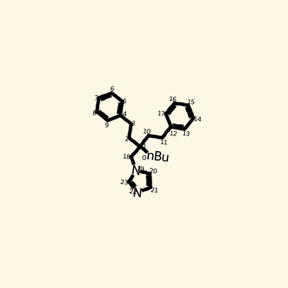 CCCCC(CCc1ccccc1)(CCc1ccccc1)Cn1ccnc1